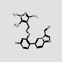 Cc1nn(C)c(C)c1CCSc1cc(F)ccc1-c1ccc2ncc(C=O)n2c1